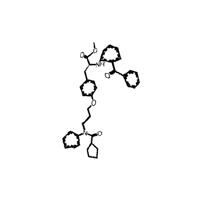 COC(=O)[C@H](Cc1ccc(OCCCN(C(=O)C2CCCC2)c2ccccc2)cc1)Nc1ccccc1C(=O)c1ccccc1